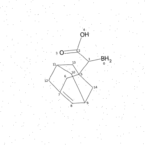 BC(C(=O)O)C12CC3=CC(CC(C3)C1)C2